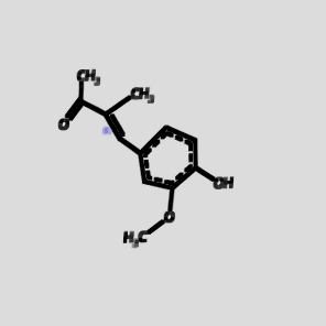 COc1cc(/C=C(\C)C(C)=O)ccc1O